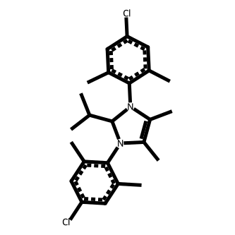 CC1=C(C)N(c2c(C)cc(Cl)cc2C)C(C(C)C)N1c1c(C)cc(Cl)cc1C